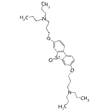 CCCN(CCC)CCCOc1ccc2c3ccc(OCCCN(CCC)CCC)cc3[s+]([O-])c2c1